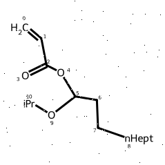 C=CC(=O)OC(CCCCCCCCC)OC(C)C